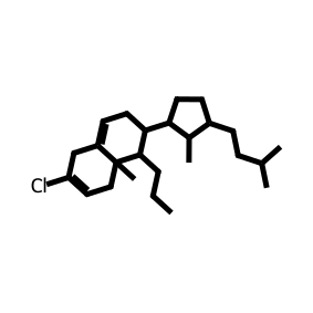 CCCC1C(C2CCC(CCC(C)C)C2C)CC=C2CC(Cl)=CCC21C